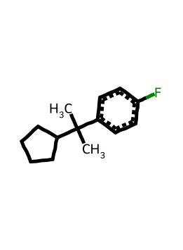 CC(C)(c1ccc(F)cc1)C1CCCC1